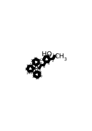 C/C=C/c1cc(CCC[PH](c2ccccc2)(c2ccccc2)c2ccccc2)ccc1O